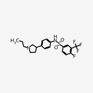 CCCN1CCC(c2ccc(NS(=O)(=O)c3ccc(F)c(C(F)(F)F)c3)cc2)C1